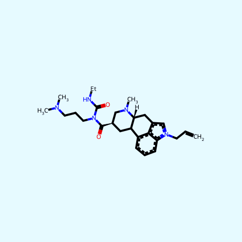 C=CCn1cc2c3c(cccc31)C1C[C@@H](C(=O)N(CCCN(C)C)C(=O)NCC)CN(C)[C@@H]1C2